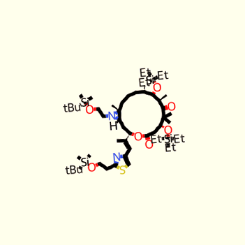 CC[Si](CC)(CC)OC1[C@@H](C)CCC[C@]2(C)[C@H](C[C@@H](/C(C)=C/c3csc(CCO[Si](C)(C)C(C)(C)C)n3)OC(=O)C[C@H](O[Si](CC)(CC)CC)C(C)(C)C(=O)[C@@H]1C)N2CCO[Si](C)(C)C(C)(C)C